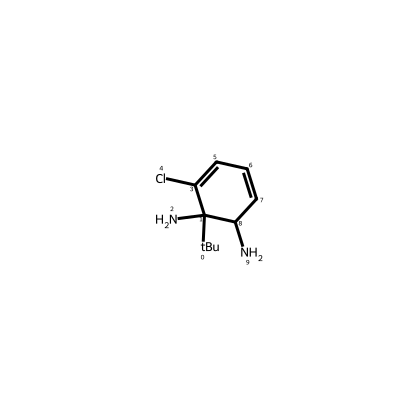 CC(C)(C)C1(N)C(Cl)=CC=CC1N